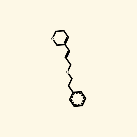 C1=C(/C=C/COCCc2ccccc2)COCC1